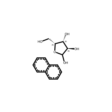 OC[C@H]1OC(O)[C@H](O)[C@H]1O.c1ccc2ccccc2c1